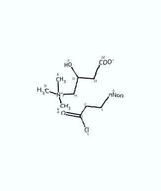 CCCCCCCCCCCC(=O)Cl.C[N+](C)(C)CC(O)CC(=O)[O-]